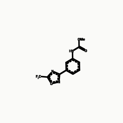 COC(=O)Nc1cccc(-c2noc(C(F)(F)F)n2)c1